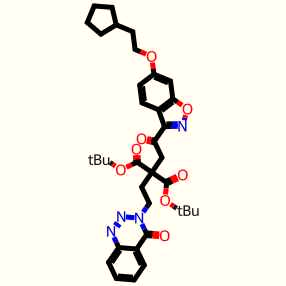 CC(C)(C)OC(=O)C(CCn1nnc2ccccc2c1=O)(CC(=O)c1noc2cc(OCCC3CCCC3)ccc12)C(=O)OC(C)(C)C